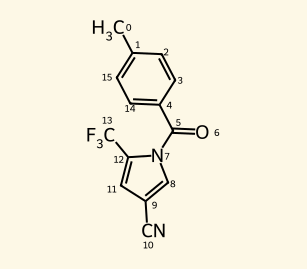 Cc1ccc(C(=O)n2cc(C#N)cc2C(F)(F)F)cc1